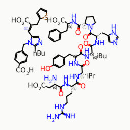 CCCCc1ncc(/C=C(\Cc2cccs2)C(=O)O)n1Cc1ccc(C(=O)O)cc1.CC[C@H](C)[C@H](NC(=O)[C@H](Cc1ccc(O)cc1)NC(=O)[C@@H](NC(=O)[C@H](CCCNC(=N)N)NC(=O)[C@@H](N)CC(=O)O)C(C)C)C(=O)N[C@@H](Cc1cnc[nH]1)C(=O)N1CCC[C@H]1C(=O)N[C@@H](Cc1ccccc1)C(=O)O